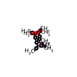 C=C/C(C)=C\C1=C(C)c2ccc(N(c3ccc(C)cc3)c3ccc(C)cc3)cc2C12c1cc(N(c3ccc(C)cc3)c3ccc(CC)cc3)ccc1-c1ccc(N(c3ccc(CC)cc3)c3ccc(OC)cc3)cc12